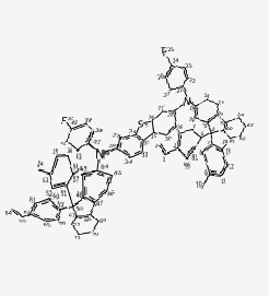 C=CC1=CCC(C2(c3cc(C)ccc3C)C3=C(CCC(N(C4C=CC(F)=CC4)C4C=CC5c6ccc(N(C7=CC=C(F)CC7)c7ccc8c(c7)C(C7=CC(C)=CCC7C)(c7ccc(C=C)cc7)C7=C8CCCC7)cc6SC5C4)=C3)C3=C2CCCC3)C=C1